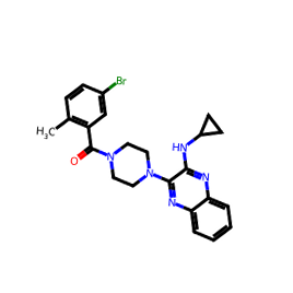 Cc1ccc(Br)cc1C(=O)N1CCN(c2nc3ccccc3nc2NC2CC2)CC1